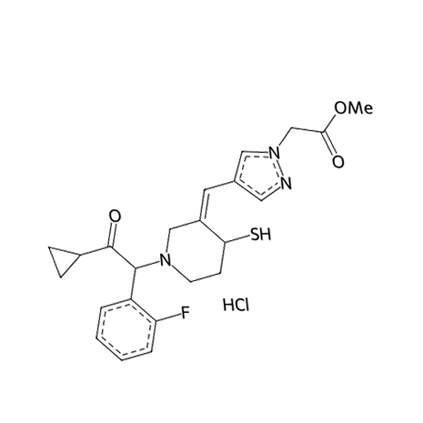 COC(=O)Cn1cc(C=C2CN(C(C(=O)C3CC3)c3ccccc3F)CCC2S)cn1.Cl